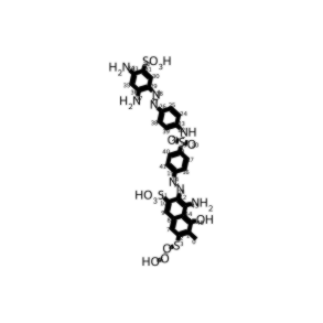 Cc1c(SOOO)cc2cc(S(=O)(=O)O)c(/N=N/c3ccc(S(=O)(=O)Nc4ccc(/N=N/c5cc(S(=O)(=O)O)c(N)cc5N)cc4)cc3)c(N)c2c1O